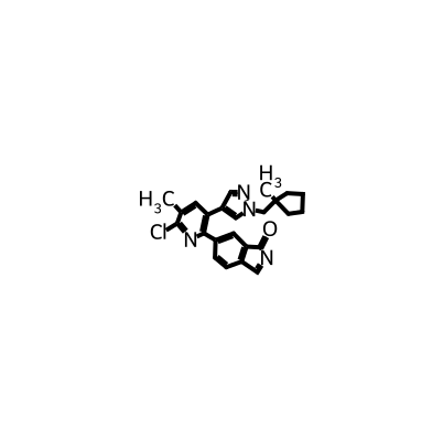 Cc1cc(-c2cnn(CC3(C)CCCC3)c2)c(-c2ccc3c(c2)C(=O)N=C3)nc1Cl